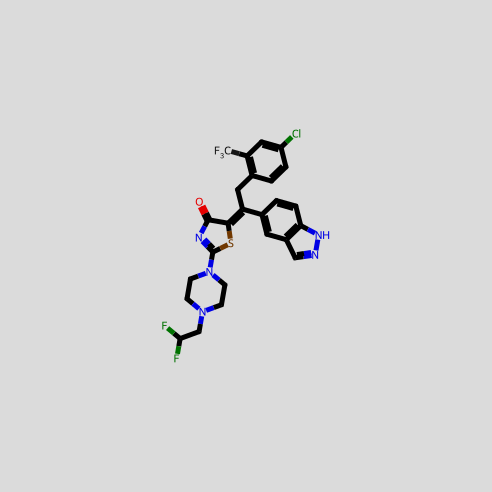 O=C1N=C(N2CCN(CC(F)F)CC2)SC1=C(Cc1ccc(Cl)cc1C(F)(F)F)c1ccc2[nH]ncc2c1